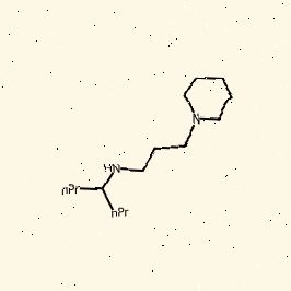 CCCC(CCC)NCCCN1CCCCC1